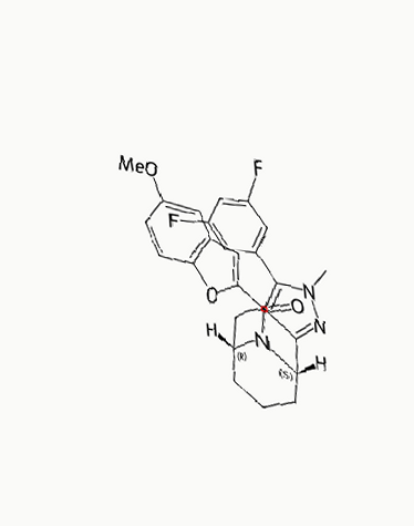 COc1ccc2oc(C(=O)N3[C@@H]4CCC[C@H]3c3nn(C)c(-c5cc(F)cc(F)c5)c3C4)cc2c1